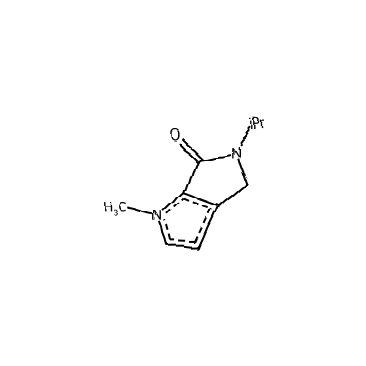 CC(C)N1Cc2ccn(C)c2C1=O